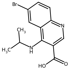 CC(C)Nc1c(C(=O)O)cnc2ccc(Br)cc12